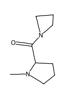 CN1CCCC1C(=O)N1CCC1